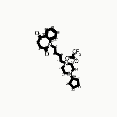 O=C1CCC(=O)N(CCCC[N+]2(OC(=O)C(F)(F)F)CCN(C3CCCC3)CC2)c2ccccc21